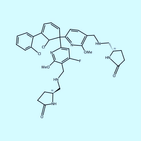 COc1nc(C2(c3cc(F)c(CNC[C@@H]4CCC(=O)N4)c(OC)n3)C=CC=C(c3ccccc3Cl)C2Cl)ccc1CNC[C@@H]1CCC(=O)N1